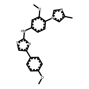 COc1ccc(-c2csc(Nc3ccc(-n4cnc(C)c4)c(OC)c3)n2)cc1